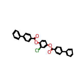 O=C(Oc1ccc(OC(=O)c2ccc(-c3ccccc3)cc2)c(Cl)c1)c1ccc(-c2ccccc2)cc1